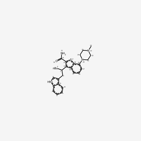 CCCCC(Cc1c[nH]c2ccccc12)c1c(C(N)=O)sc2c(N3CCN(C)CC3)cccc12